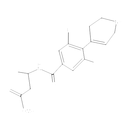 C=C(CC(C)NC(=O)c1cc(F)c(C2=CCNCC2)c(F)c1)OC